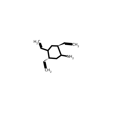 C=CC1C[C@@H](C=C)C(N)C[C@@H]1C=C